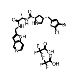 C[C@H](NC(=O)[C@H]1C[C@H](Cc2cc(Br)c(Cl)s2)CN1)C(=O)NCc1cc2cnccc2[nH]1.O=C(O)C(F)(F)F.O=C(O)C(F)(F)F